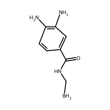 BCNC(=O)c1ccc(N)c(N)c1